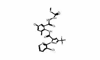 CSC(=O)NNC(=O)c1cc(Cl)cc(C)c1NC(=O)c1cc(C(F)(F)F)nn1-c1ncccc1Cl